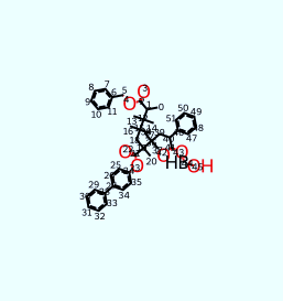 CC(C(=O)OCc1ccccc1)C(C)(C)C(C)(C)CC(C)(C(=O)Oc1ccc(-c2ccccc2)cc1)C(C)(C)CC(C(=O)OBO)c1ccccc1